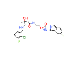 CC(O)(CNCc1cccc(F)c1Cl)CC(=O)[N]CCOC(=O)Nc1cc2cc(F)ccc2cn1